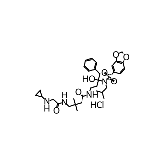 CC(C)CN(C(O)(CCNC(=O)CC(C)(C)CNC(=O)CNC1CC1)Cc1ccccc1)S(=O)(=O)c1ccc2c(c1)OCO2.Cl